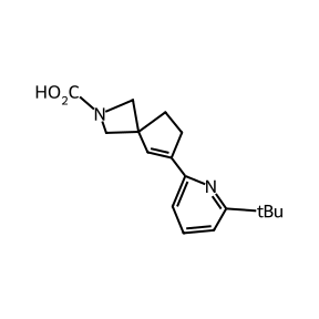 CC(C)(C)c1cccc(C2=CC3(CC2)CN(C(=O)O)C3)n1